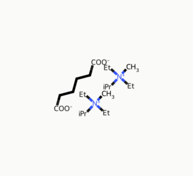 CC[N+](C)(CC)C(C)C.CC[N+](C)(CC)C(C)C.O=C([O-])CCCCC(=O)[O-]